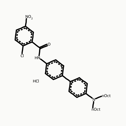 CCCCCCCCN(CCCCCCCC)c1ccc(-c2ccc(NC(=O)c3cc([N+](=O)[O-])ccc3Cl)cc2)cc1.Cl